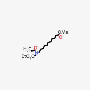 C=CC(=O)N(CCCCCCCCCCC(=O)OC)CC(=O)OCC